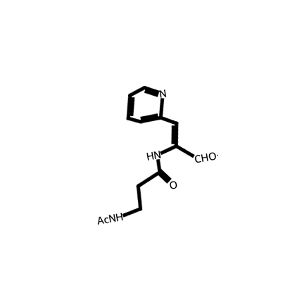 CC(=O)NCCC(=O)NC([C]=O)=Cc1ccccn1